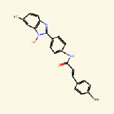 CSc1ccc(/C=C/C(=O)Nc2ccc(-c3nc4ccc(C#N)cc4n3O)cc2)cc1